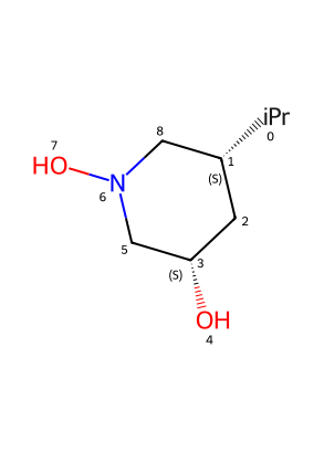 CC(C)[C@@H]1C[C@H](O)CN(O)C1